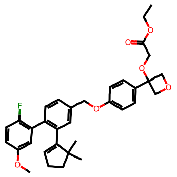 CCOC(=O)COC1(c2ccc(OCc3ccc(-c4cc(OC)ccc4F)c(C4=CCCC4(C)C)c3)cc2)COC1